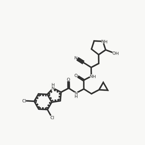 N#CC(CC1CCNC1O)NC(=O)C(CC1CC1)NC(=O)c1cc2c(Cl)cc(Cl)cc2[nH]1